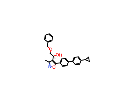 Cc1noc(-c2ccc(-c3ccc(C4CC4)cc3)cc2)c1[C@H](O)COCc1ccccc1